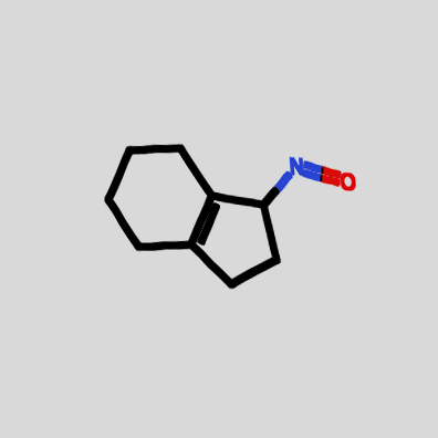 O=NC1CCC2=C1CCCC2